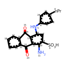 CCCc1ccc(Nc2cc(S(=O)(=O)O)c(N)c3c2C(=O)c2ccccc2C3=O)cc1